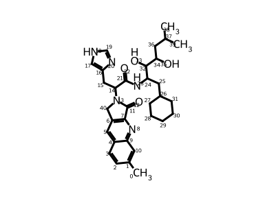 Cc1ccc2cc3c(nc2c1)C(=O)N(C(Cc1c[nH]cn1)C(=O)NC(CC1CCCCC1)C(O)C(O)CC(C)C)C3